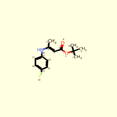 CC(=CC(=O)OC(C)(C)C)Nc1ccc(F)cc1